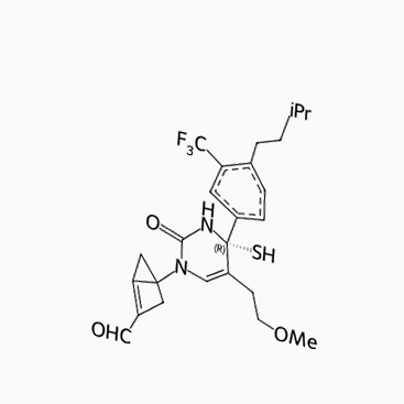 COCCC1=CN(C23CC(C=O)=C2C3)C(=O)N[C@@]1(S)c1ccc(CCC(C)C)c(C(F)(F)F)c1